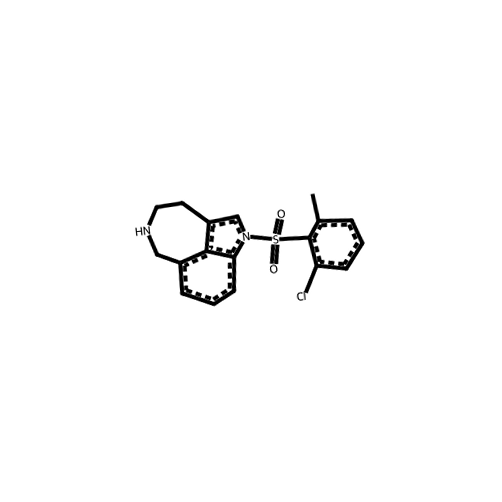 Cc1cccc(Cl)c1S(=O)(=O)n1cc2c3c(cccc31)CNCC2